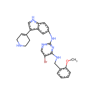 COc1ccccc1CNc1nc(Nc2ccc3[nH]cc(C4=CCNCC4)c3c2)ncc1Br